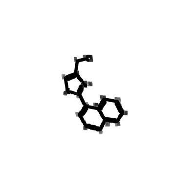 ClCc1csc(-c2cccc3ccccc23)n1